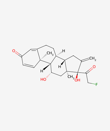 C=C1C[C@H]2[C@@H]3CCC4=CC(=O)C=C[C@]4(C)[C@H]3[C@@H](O)C[C@]2(C)[C@@]1(O)C(=O)CF